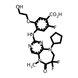 CN1C(=O)C(F)(F)CN(C2CCCC2)c2nc(Nc3cc(F)c(C(=O)O)cc3OCCO)ncc21